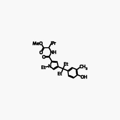 CCn1cc(C(CC)(CC)c2ccc(O)c(C)c2)cc1C(=O)NC(C(=O)OC)C(C)C